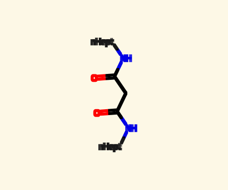 CCCCCCCNC(=O)CC(=O)NCCCCCCC